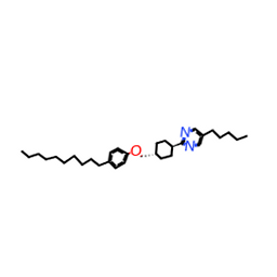 CCCCCCCCCCc1ccc(OC[C@H]2CC[C@H](c3ncc(CCCCC)cn3)CC2)cc1